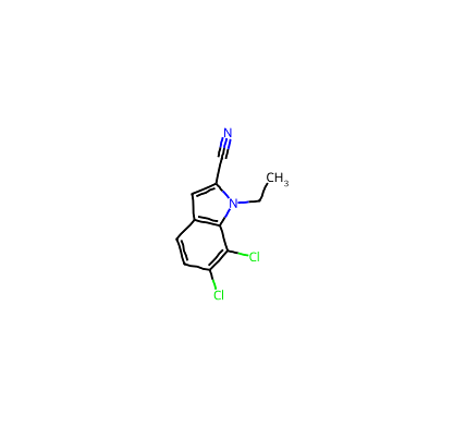 CCn1c(C#N)cc2ccc(Cl)c(Cl)c21